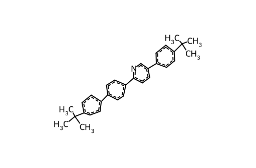 CC(C)(C)c1ccc(-c2ccc(-c3ccc(-c4ccc(C(C)(C)C)cc4)cn3)cc2)cc1